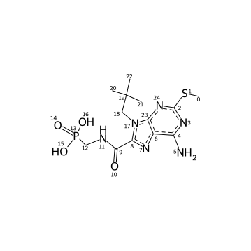 CSc1nc(N)c2nc(C(=O)NCP(=O)(O)O)n(CC(C)(C)C)c2n1